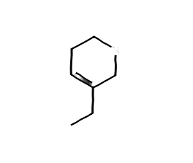 [CH2]CC1=CCCNC1